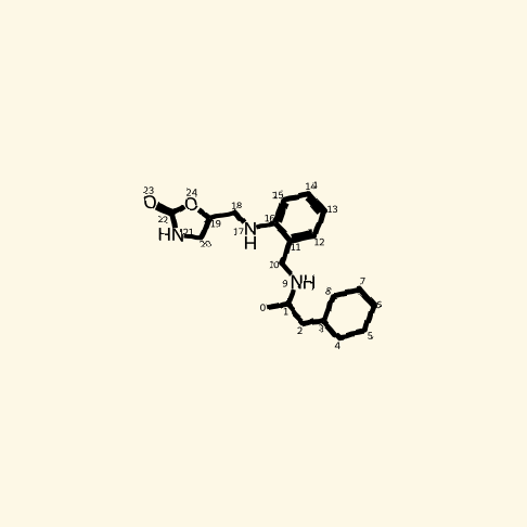 CC(CC1CCCCC1)NCc1ccccc1NCC1CNC(=O)O1